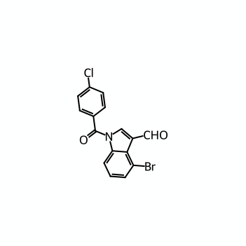 O=Cc1cn(C(=O)c2ccc(Cl)cc2)c2cccc(Br)c12